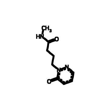 CNC(=O)CCCn1ncccc1=O